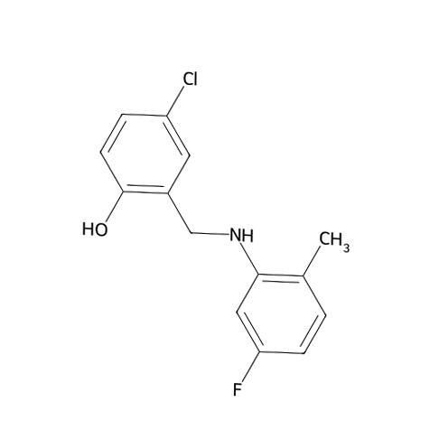 Cc1ccc(F)cc1NCc1cc(Cl)ccc1O